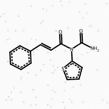 NC(=O)N(C(=O)/C=C/c1ccccc1)c1cccs1